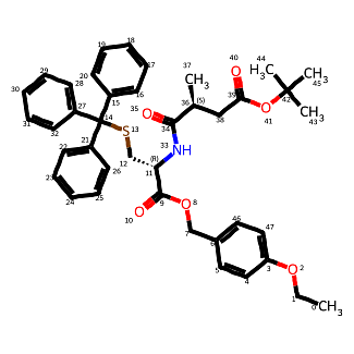 CCOc1ccc(COC(=O)[C@H](CSC(c2ccccc2)(c2ccccc2)c2ccccc2)NC(=O)[C@@H](C)CC(=O)OC(C)(C)C)cc1